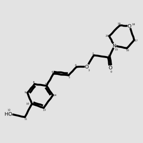 O=C(COC/C=C/c1ccc(CO)cc1)N1CCOCC1